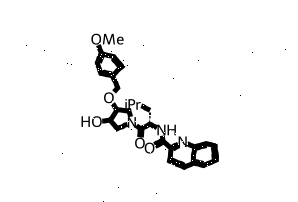 COc1ccc(COC2CN(C(=O)[C@H](CC(C)C)NC(=O)c3ccc4ccccc4n3)CC2O)cc1